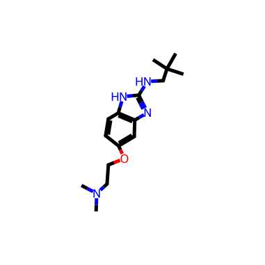 CN(C)CCOc1ccc2[nH]c(NCC(C)(C)C)nc2c1